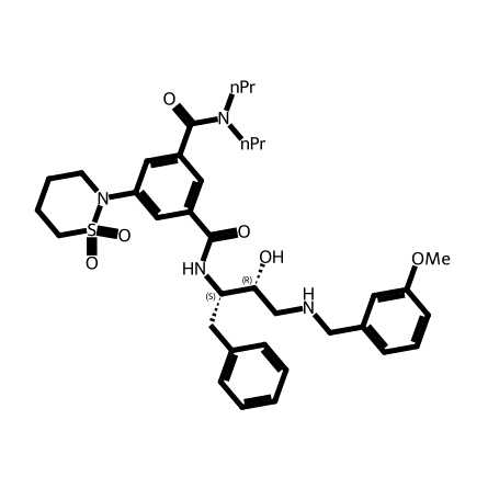 CCCN(CCC)C(=O)c1cc(C(=O)N[C@@H](Cc2ccccc2)[C@H](O)CNCc2cccc(OC)c2)cc(N2CCCCS2(=O)=O)c1